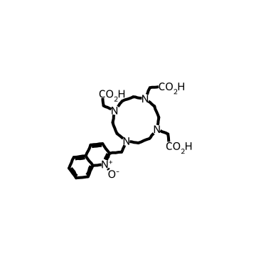 O=C(O)CN1CCN(CC(=O)O)CCN(Cc2ccc3ccccc3[n+]2[O-])CCN(CC(=O)O)CC1